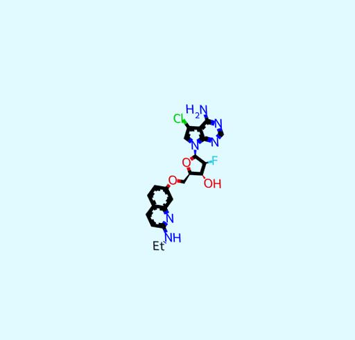 CCNc1ccc2ccc(OC[C@H]3O[C@@H](n4cc(Cl)c5c(N)ncnc54)[C@@H](F)[C@@H]3O)cc2n1